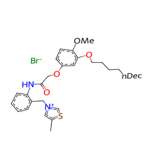 CCCCCCCCCCCCCCOc1cc(OCC(=O)Nc2ccccc2C[n+]2csc(C)c2)ccc1OC.[Br-]